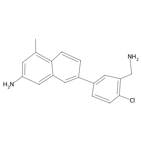 Cc1cc(N)cc2cc(-c3ccc(Cl)c(CN)c3)ccc12